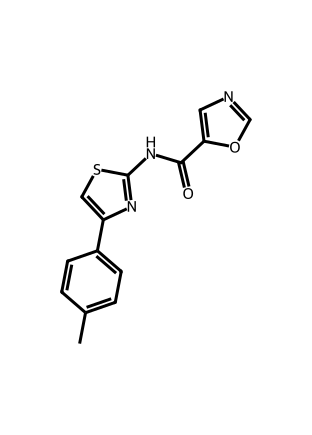 Cc1ccc(-c2csc(NC(=O)c3cnco3)n2)cc1